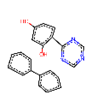 Oc1ccc(-c2ncncn2)c(O)c1.c1ccc(-c2ccccc2)cc1